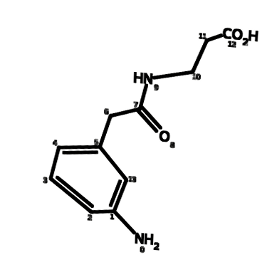 Nc1cccc(CC(=O)NCCC(=O)O)c1